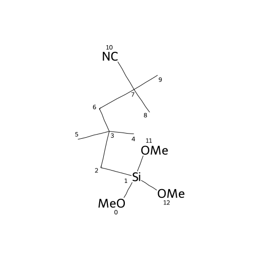 CO[Si](CC(C)(C)CC(C)(C)C#N)(OC)OC